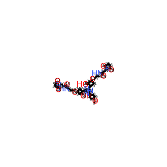 COc1ccc(-c2nc(-c3ccc(OCCCNC(=O)/C=C/N4C(=O)C=CC4=O)cc3O)nc(-c3ccc(OCCCNC(=O)CCN4C(=O)C=CC4=O)cc3O)n2)cc1